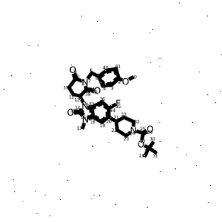 COc1ccc(CN2C(=O)CCC(n3c(=O)n(C)c4cc(C5CCN(C(=O)OC(C)(C)C)CC5)c(F)cc43)C2=O)cc1